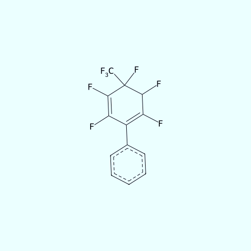 FC1=C(F)C(F)(C(F)(F)F)C(F)C(F)=C1c1ccccc1